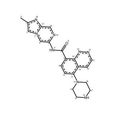 Cc1cn2cc(NC(=O)c3ccc(N4CCNCC4)c4ccnnc34)ncc2n1